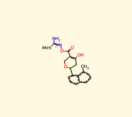 CS/C(N)=N\OC(=O)C1=C(O)CC(c2cccc3cccc(C)c23)OC1